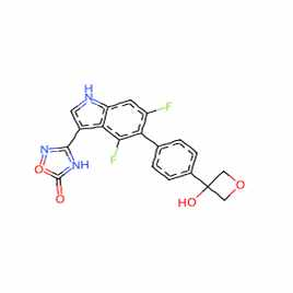 O=c1[nH]c(-c2c[nH]c3cc(F)c(-c4ccc(C5(O)COC5)cc4)c(F)c23)no1